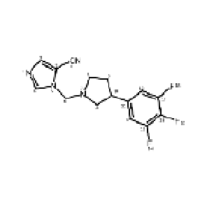 N#Cc1cncn1CN1CCC(c2cc(F)c(F)c(F)c2)C1